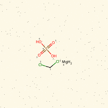 ClCCl.O=S(=O)(O)O.[MgH2]